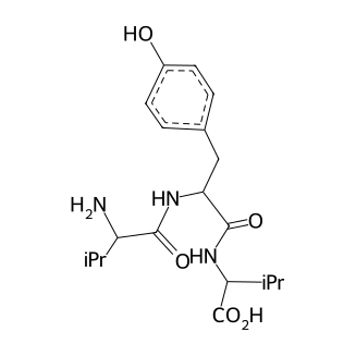 CC(C)C(N)C(=O)NC(Cc1ccc(O)cc1)C(=O)NC(C(=O)O)C(C)C